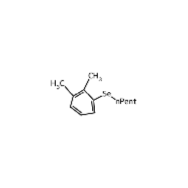 CCCCC[Se]c1cccc(C)c1C